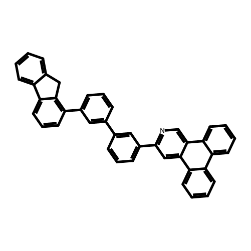 c1cc(-c2cccc(-c3cccc4c3Cc3ccccc3-4)c2)cc(-c2cc3c4ccccc4c4ccccc4c3cn2)c1